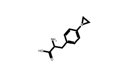 NC(Cc1ccc(N2CC2)cc1)C(=O)O